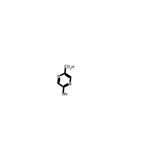 CCCc1cnc(C(=O)O)cn1